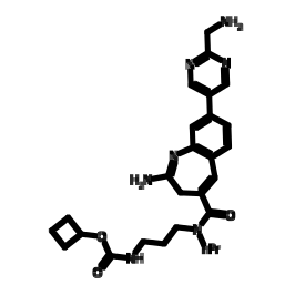 CCCN(CCCNC(=O)OC1CCC1)C(=O)C1=Cc2ccc(-c3cnc(CN)nc3)cc2N=C(N)C1